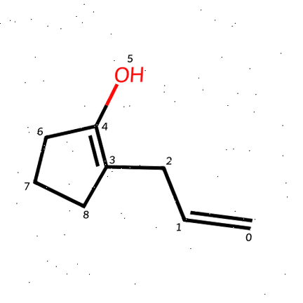 C=CCC1=C(O)CCC1